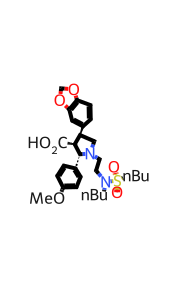 CCCCN(CCN1C[C@H](c2ccc3c(c2)OCO3)[C@H](C(=O)O)[C@H]1c1ccc(OC)cc1)S(=O)(=O)CCCC